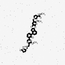 CNC(=O)C1CCN(Cc2cc(Cl)c(O[C@H]3CCc4c(-c5cccc(-c6cnc(CNC[C@@H]7CCC(=O)N7)c(OC)n6)c5Cl)cccc43)nc2OC)C1